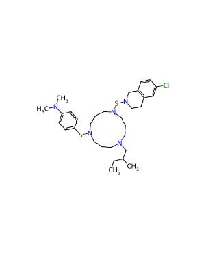 CCC(C)CN1CCCN(Sc2ccc(N(C)C)cc2)CCCN(SN2CCc3cc(Cl)ccc3C2)CCC1